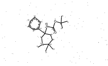 CN1CC(NC(=O)OC(C)(C)C)(c2ccccc2)CCC1(C)C